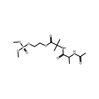 COP(=O)(OC)OCCSC(=O)C(C)(C)NC(=O)C(C)NC(C)=O